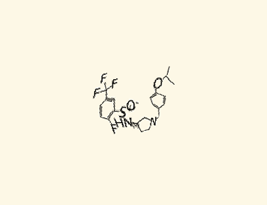 CC(C)Oc1ccc(CN2CC[C@@H](N[S+]([O-])c3cc(C(F)(F)F)ccc3F)C2)cc1